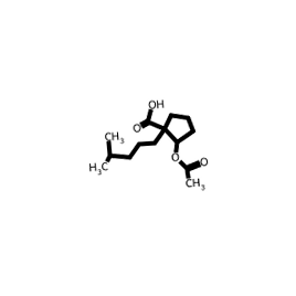 CC(=O)OC1CCCC1(CCCC(C)C)C(=O)O